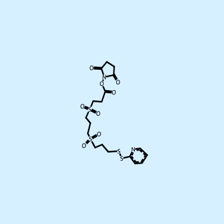 O=C(CCS(=O)(=O)CCCS(=O)(=O)CCCSSc1ccccn1)ON1C(=O)CCC1=O